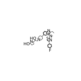 CCc1nc2ccc(C3CCN(CC(=O)C4CC[C@@H](O)N4)CC3)cn2c1N(C)c1nc(-c2ccc(F)cc2)cs1